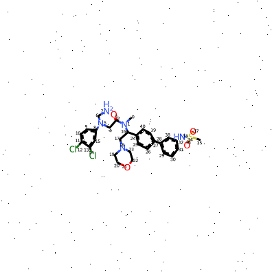 CN(C(=O)CN(CN)c1ccc(Cl)c(Cl)c1)C(CN1CCOCC1)c1ccc(-c2cccc(NS(C)(=O)=O)c2)cc1